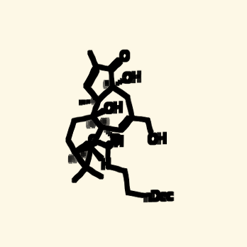 CCCCCCCCCCCCCC(=O)O[C@@]12CC[C@@]3(O)[C@@H](C=C(CO)C[C@]4(O)C(=O)C(C)=C[C@]34C)[C@@H]1C2(C)C